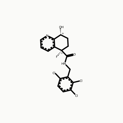 O=C(NCc1c(Cl)ccc(Cl)c1Cl)[C@]1(F)CC[C@@H](O)c2ncccc21